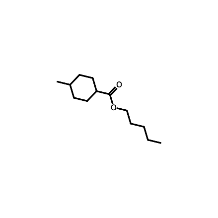 CCCCCOC(=O)C1CCC(C)CC1